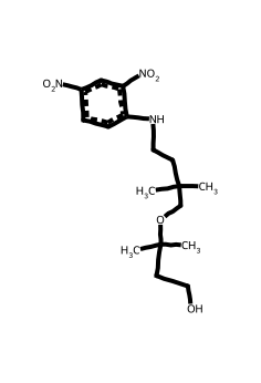 CC(C)(CCNc1ccc([N+](=O)[O-])cc1[N+](=O)[O-])COC(C)(C)CCO